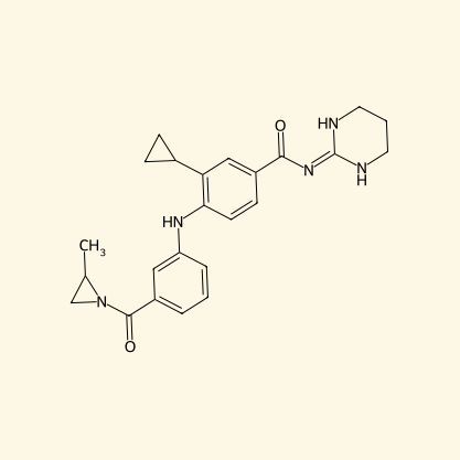 CC1CN1C(=O)c1cccc(Nc2ccc(C(=O)N=C3NCCCN3)cc2C2CC2)c1